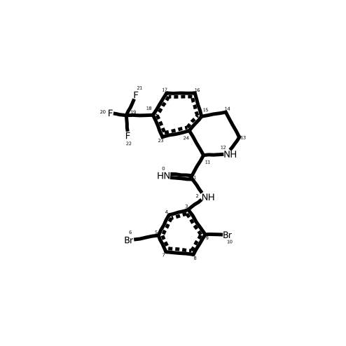 N=C(Nc1cc(Br)ccc1Br)C1NCCc2ccc(C(F)(F)F)cc21